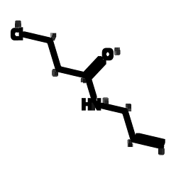 C=CCNC(=O)CCCl